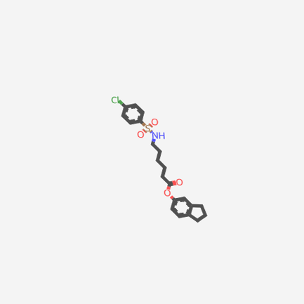 O=C(CCCCCNS(=O)(=O)c1ccc(Cl)cc1)Oc1ccc2c(c1)CCC2